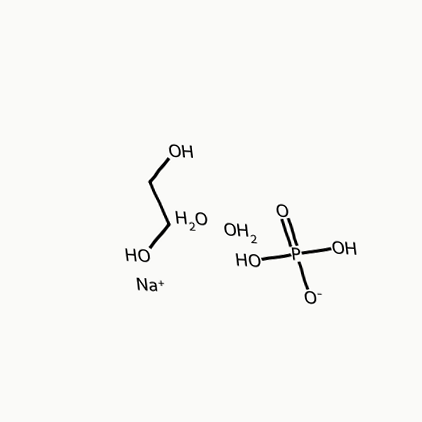 O.O.O=P([O-])(O)O.OCCO.[Na+]